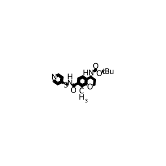 Cc1c(C(=O)NSc2ccncc2)ccc2c1OCCC2NC(=O)OC(C)(C)C